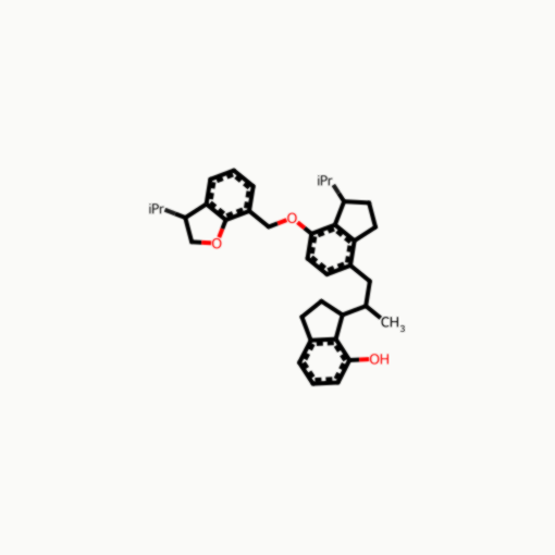 CC(C)C1COc2c(COc3ccc(CC(C)C4CCc5cccc(O)c54)c4c3C(C(C)C)CC4)cccc21